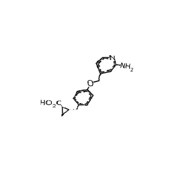 Nc1cc(COc2ccc(C[C@@H]3C[C@@H]3C(=O)O)cc2)ccn1